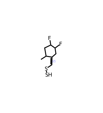 CC1CC(F)C(F)C/C1=C/SS